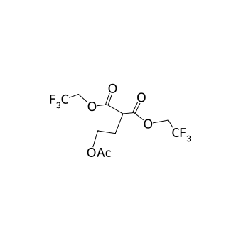 CC(=O)OCCC(C(=O)OCC(F)(F)F)C(=O)OCC(F)(F)F